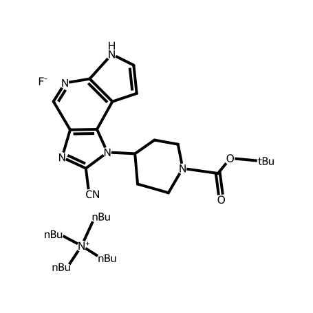 CC(C)(C)OC(=O)N1CCC(n2c(C#N)nc3cnc4[nH]ccc4c32)CC1.CCCC[N+](CCCC)(CCCC)CCCC.[F-]